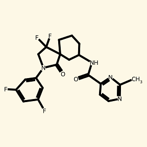 Cc1nccc(C(=O)NC2CCCC3(C2)C(=O)N(c2cc(F)cc(F)c2)CC3(F)F)n1